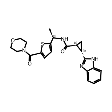 C[C@@H](NC(=O)[C@H]1C[C@@H]1c1nc2ccccc2[nH]1)c1ccc(C(=O)N2CCOCC2)s1